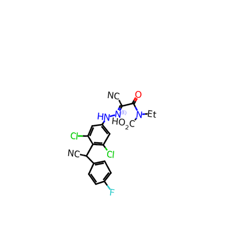 CCN(C(=O)O)C(=O)/C(C#N)=N/Nc1cc(Cl)c(C(C#N)c2ccc(F)cc2)c(Cl)c1